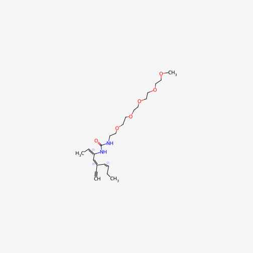 C#CC(/C=C\CC)=C/C(=C\C)NC(=O)NCCOCCOCCOCCOCCOC